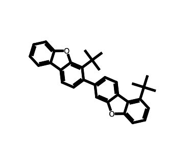 CC(C)(C)c1c(-c2ccc3c(c2)oc2cccc(C(C)(C)C)c23)ccc2c1oc1ccccc12